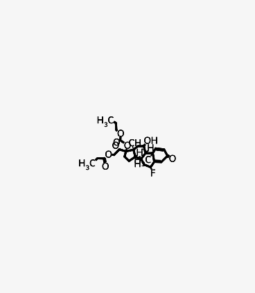 CCCOC(=O)O[C@]1(C(=O)COC(=O)CC)CC[C@H]2[C@@H]3C[C@H](F)C4=CC(=O)C=C[C@]4(C)[C@H]3C(O)C[C@@]21C